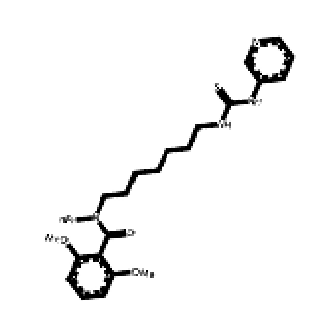 CCCN(CCCCCCCNC(=S)Nc1cccnc1)C(=O)c1c(OC)cccc1OC